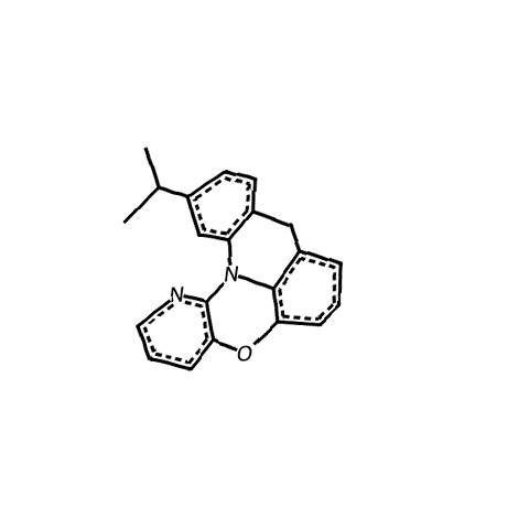 CC(C)c1ccc2c(c1)N1c3ncccc3Oc3cccc(c31)C2